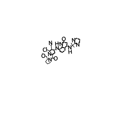 COC[C@@H]1CCCN1C(=O)c1cc(Nc2cccc3c(NC(C)(C)c4ncccn4)cc(=O)n(C)c23)c(C#N)c(Cl)n1